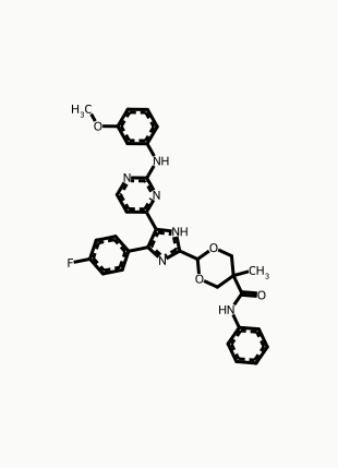 COc1cccc(Nc2nccc(-c3[nH]c(C4OCC(C)(C(=O)Nc5ccccc5)CO4)nc3-c3ccc(F)cc3)n2)c1